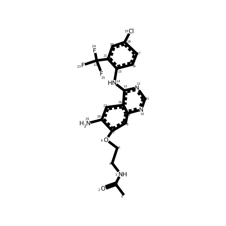 CC(=O)NCCOc1cc2ncnc(Nc3ccc(Cl)cc3C(F)(F)F)c2cc1N